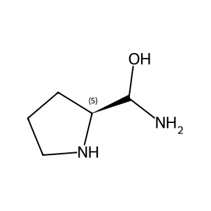 NC(O)[C@@H]1CCCN1